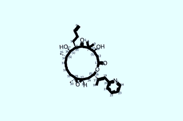 C=CCC[C@H]1C(=O)C(C)(C)[C@@H](O)CC(=O)O[C@H](C(C)=Cc2ccccn2)C[C@H]2O[C@@]2(C)CCC[C@H](C)[C@@H]1O